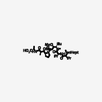 CCCCCCCN(C)[C@H](C(=O)N[C@H](C(=O)N(C)[C@@H]([C@@H](C)CC)[C@@H](CC(=O)N1CCC[C@H]1[C@H](OC)[C@@H](C)C(=O)N[C@@H](C)C(=O)O)OC)C(C)C)C(C)C